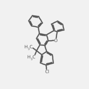 CC1(C)c2cc(Cl)ccc2-c2c1cc(-c1ccccc1)c1c2oc2ccccc21